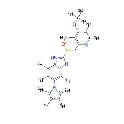 [2H]c1nc(C[S+]([O-])c2nc3c([2H])c(-n4c([2H])c([2H])c([2H])c4[2H])c([2H])c([2H])c3[nH]2)c(C)c(OC([2H])([2H])[2H])c1[2H]